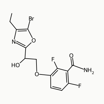 CCc1nc(C(O)COc2ccc(F)c(C(N)=O)c2F)oc1Br